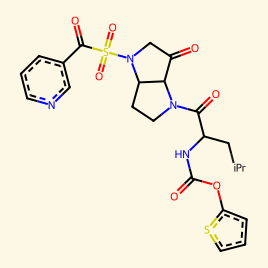 CC(C)CC(NC(=O)Oc1cccs1)C(=O)N1CCC2C1C(=O)CN2S(=O)(=O)C(=O)c1cccnc1